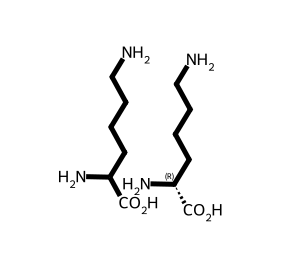 NCCCCC(N)C(=O)O.NCCCC[C@@H](N)C(=O)O